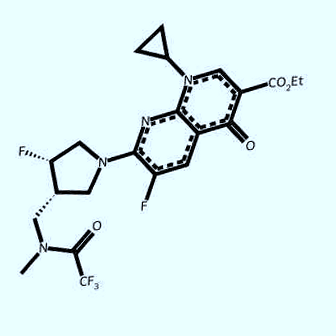 CCOC(=O)c1cn(C2CC2)c2nc(N3C[C@H](CN(C)C(=O)C(F)(F)F)[C@H](F)C3)c(F)cc2c1=O